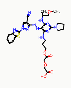 COCC(C)Nc1nc(N2CCCC2)nc(NCCCOC(=O)COCC(=O)O)c1N=Nc1nn(-c2nc3ccccc3s2)cc1C#N